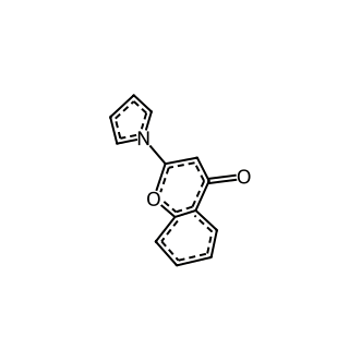 O=c1cc(-n2cccc2)oc2ccccc12